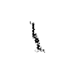 CCCCCCCCCc1cnc(-c2ccc(OCC(F)CC(C)CC)cc2)nc1